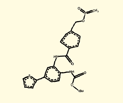 C=P(=O)OCc1ccc(C(=O)Nc2cc(-c3cccs3)ccc2NC(=O)OC(C)(C)C)cc1